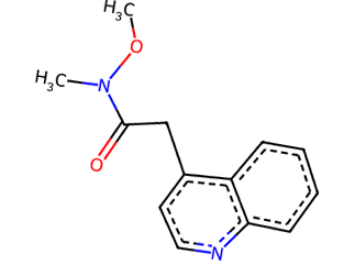 CON(C)C(=O)Cc1ccnc2ccccc12